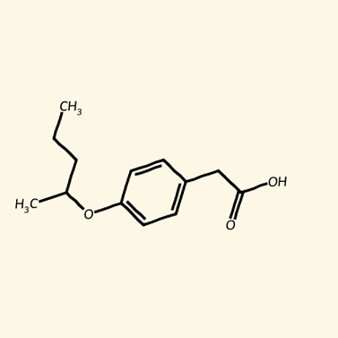 CCCC(C)Oc1ccc(CC(=O)O)cc1